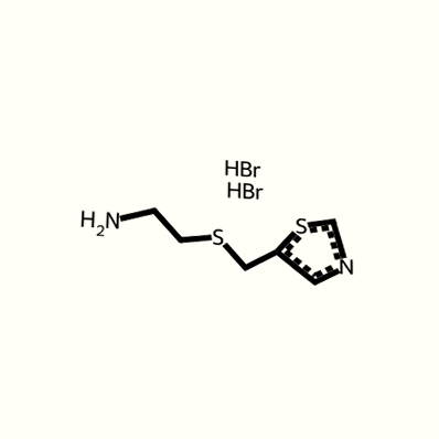 Br.Br.NCCSCc1cncs1